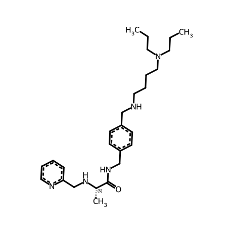 CCCN(CCC)CCCCNCc1ccc(CNC(=O)[C@H](C)NCc2ccccn2)cc1